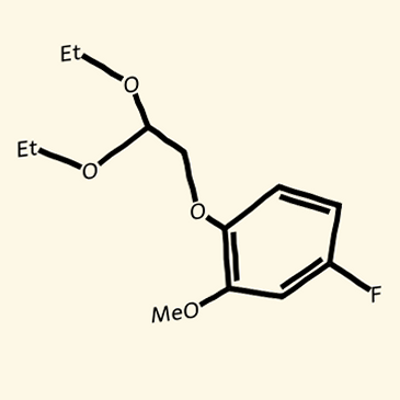 CCOC(COc1ccc(F)cc1OC)OCC